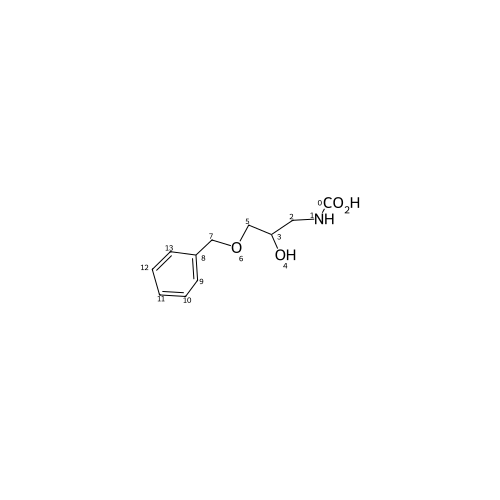 O=C(O)NCC(O)COCc1ccccc1